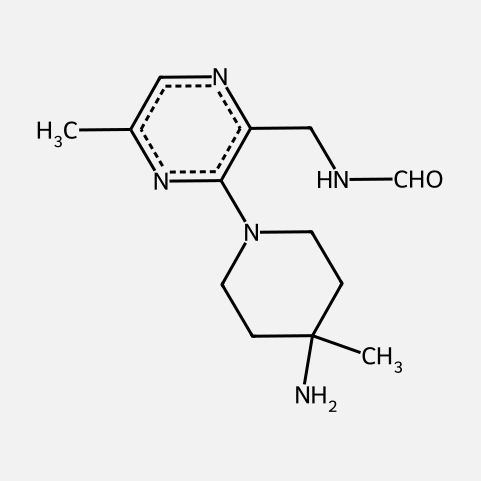 Cc1cnc(CNC=O)c(N2CCC(C)(N)CC2)n1